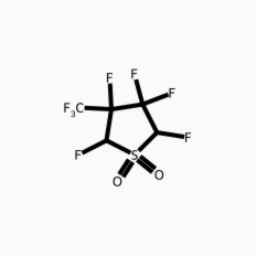 O=S1(=O)C(F)C(F)(F)C(F)(C(F)(F)F)C1F